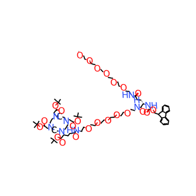 COCCOCCOCCOCCOCCOCCNC(=O)CC[C@H](NC(=O)OCC1c2ccccc2-c2ccccc21)C(=O)NCCOCCOCCOCCOCCOCCNC(=O)CCC(C(=O)OC(C)(C)C)N1CCN(CC(=O)OC(C)(C)C)CCN(CC(=O)OC(C)(C)C)CCN(CC(=O)OC(C)(C)C)CC1